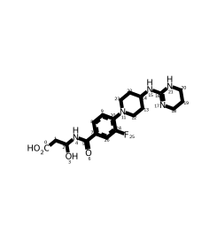 O=C(O)CC(O)NC(=O)c1ccc(N2CCC(NC3=NCCCN3)CC2)c(F)c1